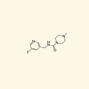 CN1CCN(C(=O)NCc2cncc(F)c2)CC1